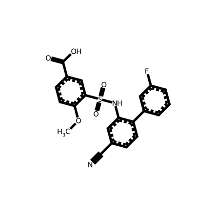 COc1ccc(C(=O)O)cc1S(=O)(=O)Nc1cc(C#N)ccc1-c1cccc(F)c1